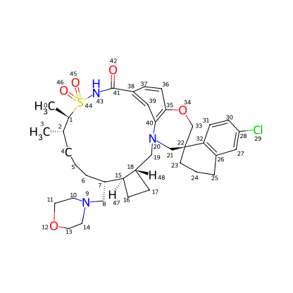 C[C@@H]1[C@@H](C)CCC[C@@H](CN2CCOCC2)[C@@H]2CC[C@H]2CN2C[C@@]3(CCCc4cc(Cl)ccc43)COc3ccc(cc32)C(=O)NS1(=O)=O